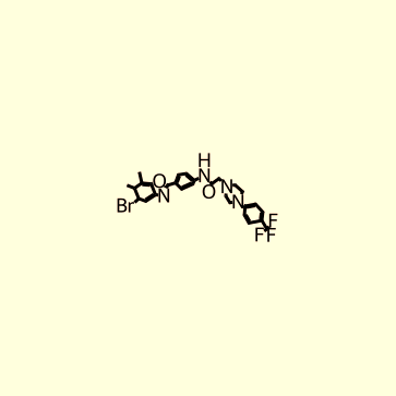 CC1=c2oc(-c3ccc(NC(=O)CN4CCN(c5ccc(C(F)(F)F)cc5)CC4)cc3)nc2=CC(Br)C1C